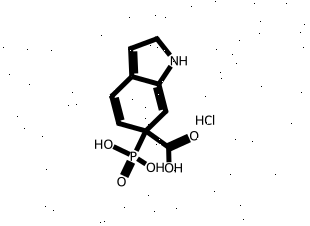 Cl.O=C(O)C1(P(=O)(O)O)C=CC2=CCNC2=C1